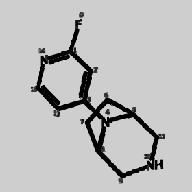 Fc1cc(N2C3CCC2CNC3)ccn1